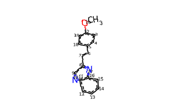 COc1ccc(C=Cc2cnc3ccccc3n2)cc1